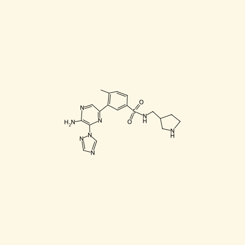 Cc1ccc(S(=O)(=O)NCC2CCNC2)cc1-c1cnc(N)c(-n2cncn2)n1